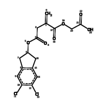 C=C(CC(=O)OC1Cc2cc(Cl)c(Cl)cc2C1)C(=O)OCC(=O)O